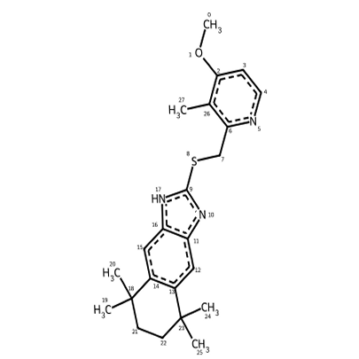 COc1ccnc(CSc2nc3cc4c(cc3[nH]2)C(C)(C)CCC4(C)C)c1C